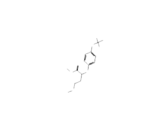 COCCC(Oc1ccc(OC(F)(F)F)cc1)C(=O)OC